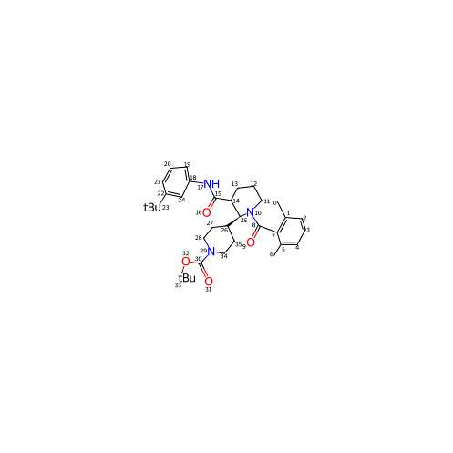 Cc1cccc(C)c1C(=O)N1CCCC(C(=O)Nc2cccc(C(C)(C)C)c2)[C@@H]1C1CCN(C(=O)OC(C)(C)C)CC1